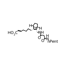 CCCCCNC(=O)CC(=O)NC[C@@H]1[C@H](CCCC/C=C/C(=O)O)[C@@H]2CC[C@H]1O2